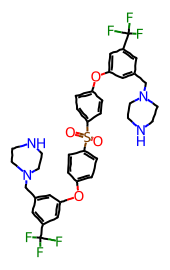 O=S(=O)(c1ccc(Oc2cc(CN3CCNCC3)cc(C(F)(F)F)c2)cc1)c1ccc(Oc2cc(CN3CCNCC3)cc(C(F)(F)F)c2)cc1